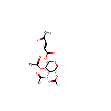 CCC(=O)O[C@@H]1[C@@H](OC(=O)CC)[C@H](OC(=O)/C=C/C(=O)OC)OC[C@@H]1OC(=O)CC